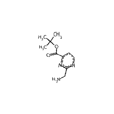 CC(C)(C)OC(=O)c1ccnc(CN)n1